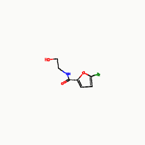 O=C(NCCO)c1ccc(Br)o1